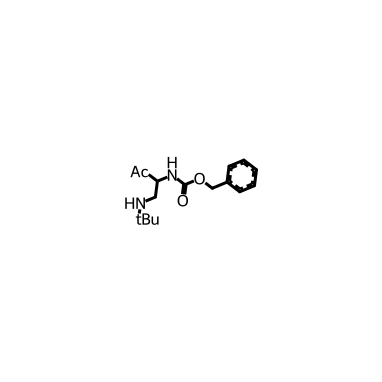 CC(=O)C(CNC(C)(C)C)NC(=O)OCc1ccccc1